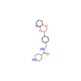 O=C(NCc1ccc(C2COc3cccnc3O2)cc1)C1CCNCC1